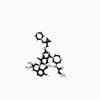 C#Cc1c(F)ccc2c1N(c1ncc3c(N4CCOC[C@@H](NC(=O)C=C)C4)nc(OCC4(CN5CCOCC5)CC4)nc3c1F)C[C@@](C)(O)C2